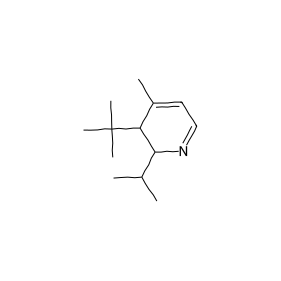 CC1=CC=NC(C(C)C)C1C(C)(C)C